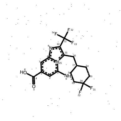 Nc1cc(C(=O)O)cc2nc(C(F)(F)F)c(CC3CCC(F)(F)CC3)n12